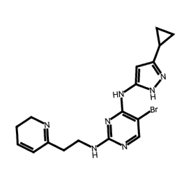 Brc1cnc(NCCC2=NCCC=C2)nc1Nc1cc(C2CC2)n[nH]1